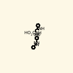 O=C(O)C(Cc1c[nH]c2ccccc12)NS(=O)(=O)c1ccc(-c2nnn(-c3ccccc3)n2)cc1